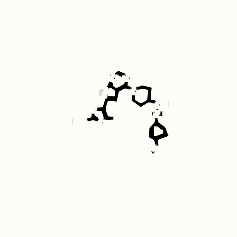 Cc1nc(C)c(-c2cc3c(N4CCC(NS(=O)(=O)c5ccc(OC(F)(F)F)cc5)CC4)ncnc3[nH]2)s1